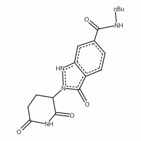 CCCCNC(=O)c1ccc2c(=O)n(C3CCC(=O)NC3=O)[nH]c2c1